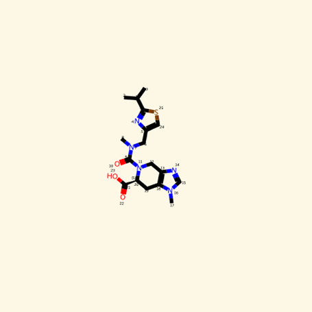 CC(C)c1nc(CN(C)C(=O)N2Cc3ncn(C)c3C[C@H]2C(=O)O)cs1